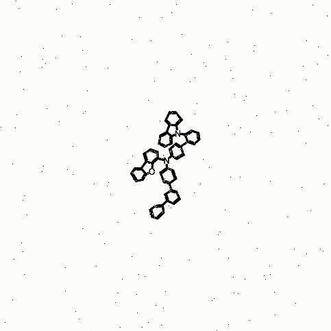 c1ccc(-c2cccc(-c3ccc(N(c4ccc(-c5ccccc5-n5c6ccccc6c6ccccc65)cc4)c4cccc5c4oc4ccccc45)cc3)c2)cc1